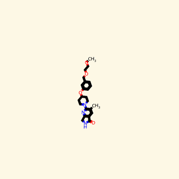 COCCOCc1cccc(OC2CCN(c3nc4c(cc3C)C(=O)NC4)CC2)c1